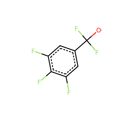 [O]C(F)(F)c1cc(F)c(F)c(F)c1